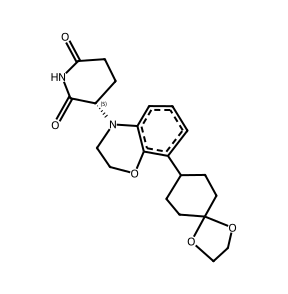 O=C1CC[C@H](N2CCOc3c(C4CCC5(CC4)OCCO5)cccc32)C(=O)N1